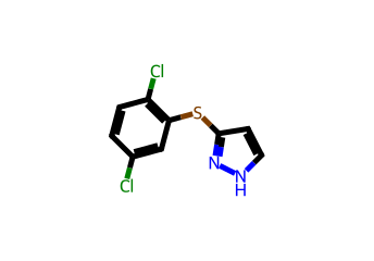 Clc1ccc(Cl)c(Sc2cc[nH]n2)c1